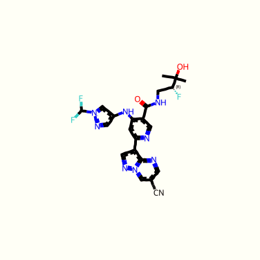 CC(C)(O)[C@H](F)CNC(=O)c1cnc(-c2cnn3cc(C#N)cnc23)cc1Nc1cnn(C(F)F)c1